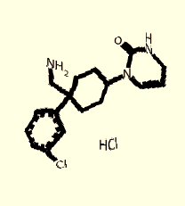 Cl.NCC1(c2cccc(Cl)c2)CCC(N2C=CCNC2=O)CC1